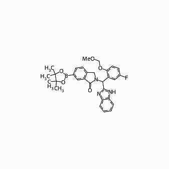 COCOc1ccc(F)cc1C(c1nc2ccccc2[nH]1)N1Cc2ccc(B3OC(C)(C)C(C)(C)O3)cc2C1=O